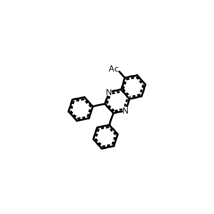 CC(=O)c1cccc2nc(-c3ccccc3)c(-c3ccccc3)nc12